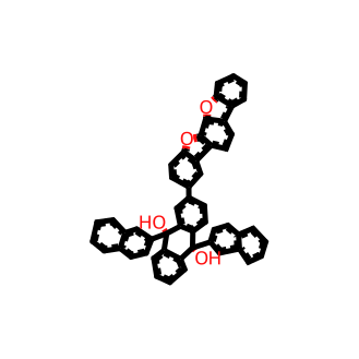 OC1(c2ccc3ccccc3c2)c2ccccc2C(O)(c2ccc3ccccc3c2)c2cc(-c3ccc4oc5c(ccc6c7ccccc7oc65)c4c3)ccc21